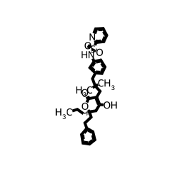 CCC[C@@]1(CCc2ccccc2)CC(O)=C(CC(C)(C)Cc2cccc(NS(=O)(=O)c3ccccn3)c2)C(=O)O1